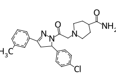 Cc1cccc(C2=NN(C(=O)CN3CCC(C(N)=O)CC3)C(c3ccc(Cl)cc3)C2)c1